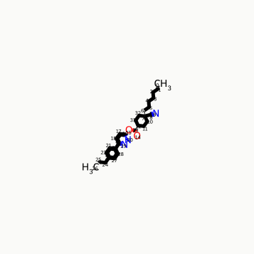 CCCCCCC[C@]1(C#N)CC[C@H](C(=O)Oc2ccc(-c3ccc(CCC)cc3)nn2)CC1